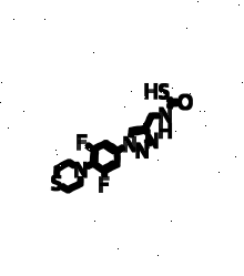 O=C(S)NCc1cn(-c2cc(F)c(N3CCSCC3)c(F)c2)nn1